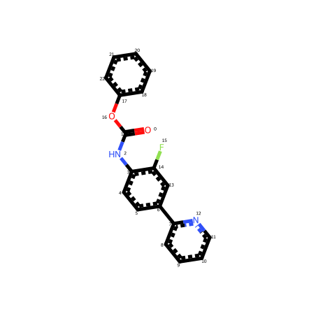 O=C(Nc1ccc(-c2ccccn2)cc1F)Oc1ccccc1